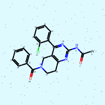 CC(C)C(=O)Nc1nc2c(c(-c3ccccc3Cl)n1)CN(C(=O)c1ccccc1)CC2